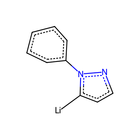 [Li][c]1ccnn1-c1ccccc1